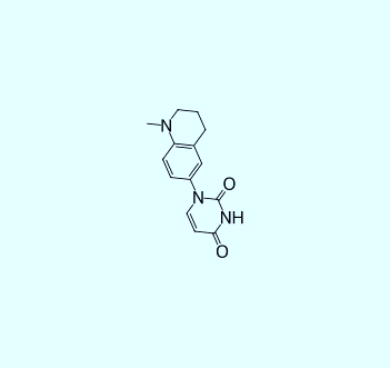 CN1CCCc2cc(-n3ccc(=O)[nH]c3=O)ccc21